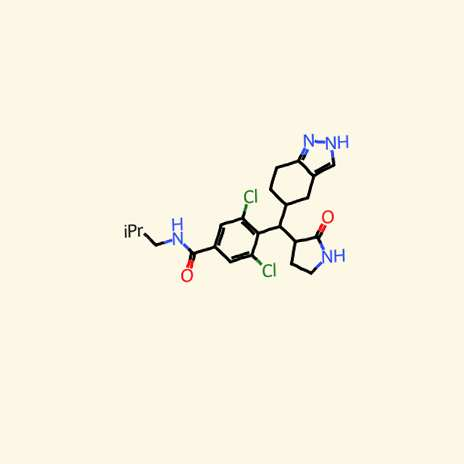 CC(C)CNC(=O)c1cc(Cl)c(C(C2CCc3n[nH]cc3C2)C2CCNC2=O)c(Cl)c1